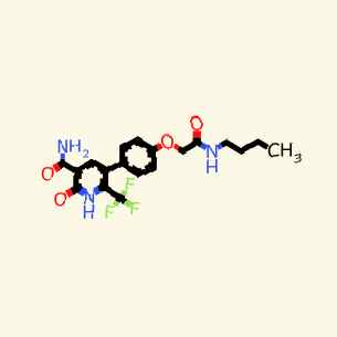 CCCCNC(=O)COc1ccc(-c2cc(C(N)=O)c(=O)[nH]c2C(F)(F)F)cc1